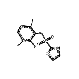 Cc1ccc(F)c(CS(=O)(=O)c2ncco2)c1F